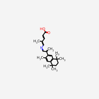 C=C(\C=N/C=C(C)/C=C/C(=O)O)c1cc2c(cc1C)C(C)(C)CCC2(C)C